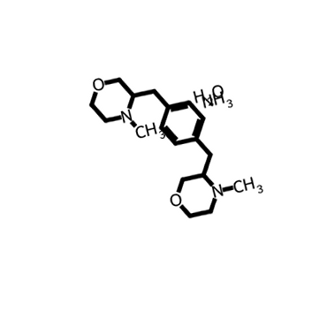 CN1CCOCC1Cc1ccc(CC2COCCN2C)cc1.N.O